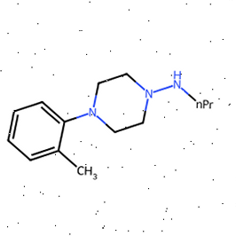 CCCNN1CCN(c2ccccc2C)CC1